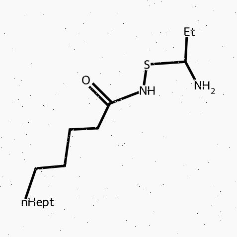 CCCCCCCCCCCC(=O)NSC(N)CC